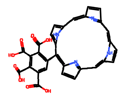 O=C(O)c1cc(-c2c3nc(cc4ccc(cc5nc(cc6ccc2[nH]6)C=C5)[nH]4)C=C3)c(C(=O)O)c(C(=O)O)c1C(=O)O